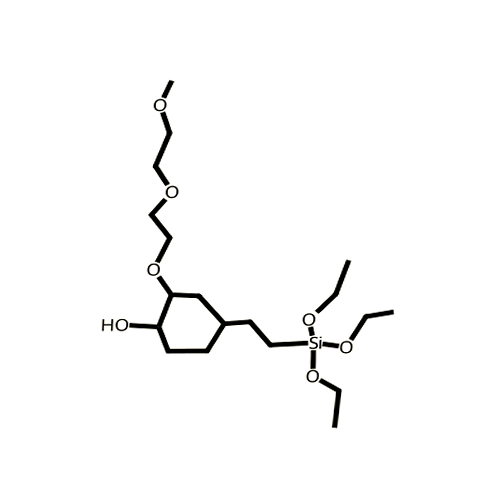 CCO[Si](CCC1CCC(O)C(OCCOCCOC)C1)(OCC)OCC